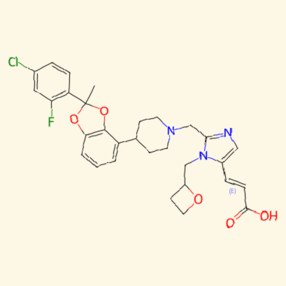 CC1(c2ccc(Cl)cc2F)Oc2cccc(C3CCN(Cc4ncc(/C=C/C(=O)O)n4CC4CCO4)CC3)c2O1